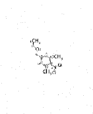 CCOCc1cc(C)c([N+](=O)[O-])c(C)c1